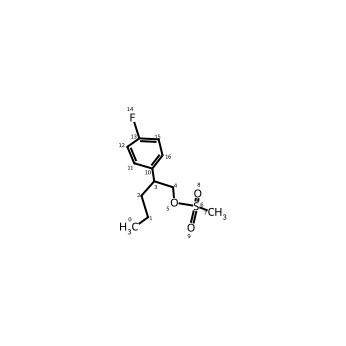 CCCC(COS(C)(=O)=O)c1ccc(F)cc1